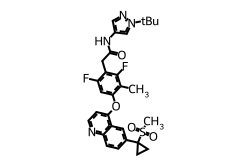 Cc1c(Oc2ccnc3ccc(C4(S(C)(=O)=O)CC4)cc23)cc(F)c(CC(=O)Nc2cnn(C(C)(C)C)c2)c1F